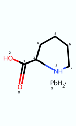 O=C(O)C1CCCCN1.[PbH2]